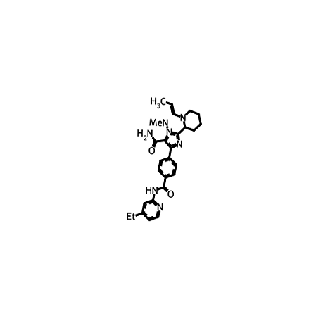 CC=CN1CCCCC1c1nc(-c2ccc(C(=O)Nc3cc(CC)ccn3)cc2)c(C(N)=O)n1NC